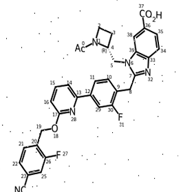 CC(=O)N1CC[C@@H]1Cn1c(Cc2ccc(-c3cccc(OCc4ccc(C#N)cc4F)n3)cc2F)nc2ccc(C(=O)O)cc21